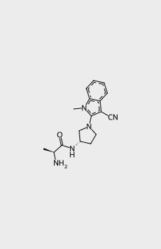 C[C@H](N)C(=O)N[C@H]1CCN(c2c(C#N)c3ccccc3n2C)C1